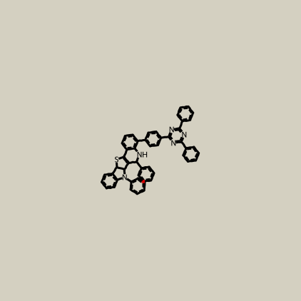 c1ccc(-c2nc(-c3ccccc3)nc(-c3ccc(-c4cccc5c4NC(c4ccccc4)C4=C5SC5c6ccccc6N(c6ccccc6)C45)cc3)n2)cc1